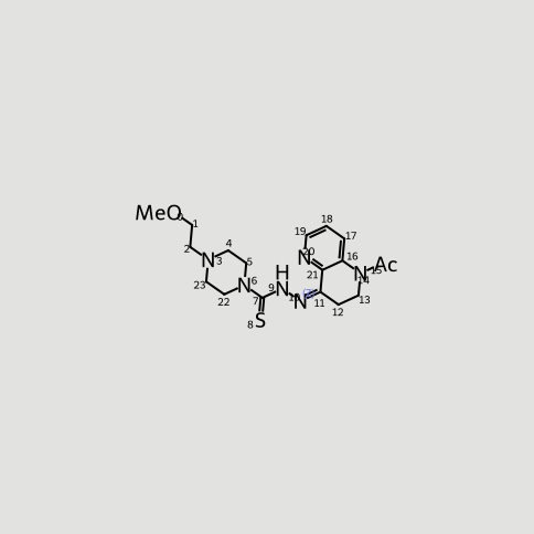 COCCN1CCN(C(=S)N/N=C2/CCN(C(C)=O)c3cccnc32)CC1